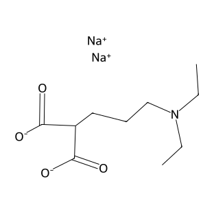 CCN(CC)CCCC(C(=O)[O-])C(=O)[O-].[Na+].[Na+]